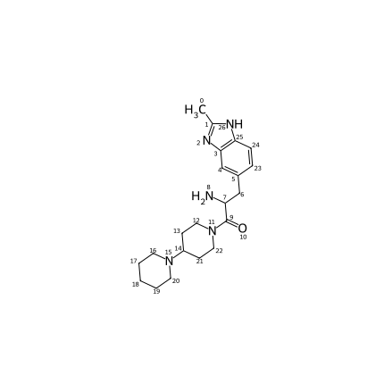 Cc1nc2cc(CC(N)C(=O)N3CCC(N4CCCCC4)CC3)ccc2[nH]1